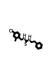 Cc1cc(Cl)ccc1CNC(=S)NCCc1ccccc1